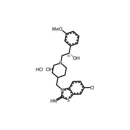 COc1cccc([C@H](O)CN2CCC(Cn3c(=N)sc4cc(Cl)ccc43)CC2)c1.Cl.Cl